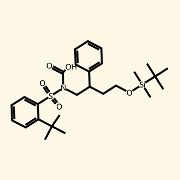 CC(C)(C)c1ccccc1S(=O)(=O)N(CC(CCO[Si](C)(C)C(C)(C)C)c1ccccc1)C(=O)O